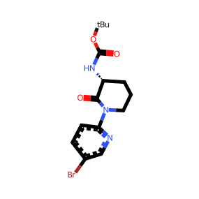 CC(C)(C)OC(=O)N[C@@H]1CCCN(c2ccc(Br)cn2)C1=O